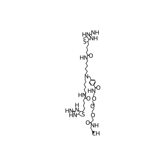 C#CCNC(=O)CCOCCOCCOCCNC(=O)c1ccc(CN(CCCCCCNC(=O)CCCCC2SCC3NC(=N)NC32)CCCCCCNC(=O)CCCCC2SCC3NC(=N)NC32)cc1